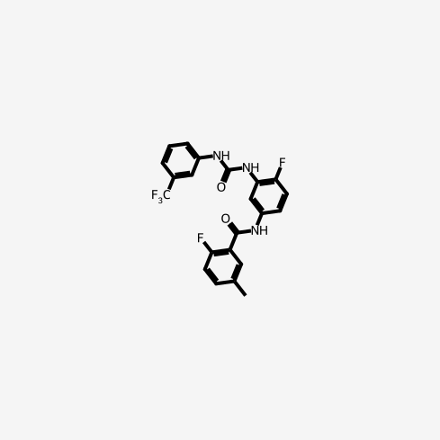 Cc1ccc(F)c(C(=O)Nc2ccc(F)c(NC(=O)Nc3cccc(C(F)(F)F)c3)c2)c1